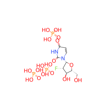 O=P(O)(O)O.O=P(O)(O)O.O=P(O)(O)O.O=c1ccn([C@@H]2O[C@H](CO)[C@@H](O)[C@@H]2F)c(=O)[nH]1